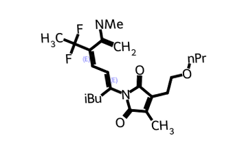 C=C(NC)/C(=C\C=C(/C(C)CC)N1C(=O)C(C)=C(CCOCCC)C1=O)C(C)(F)F